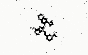 CC(=O)N1CCCC(CCn2c(Sc3cc4c(cc3N3CCC3)OCCO4)nc3c(N)ncnc32)C1